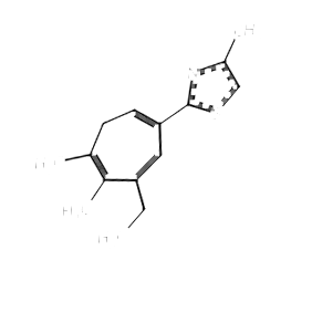 CCC1=CC(c2nc(C)cs2)=CCC(C)=C1C